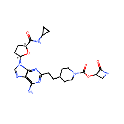 Nc1nc(CCC2CCN(C(=O)OC3CNC3=O)CC2)nc2c1ncn2[C@H]1CC[C@@H](C(=O)NC2CC2)O1